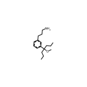 CCCC(CCC)(OC)c1cccc(CCCN)c1